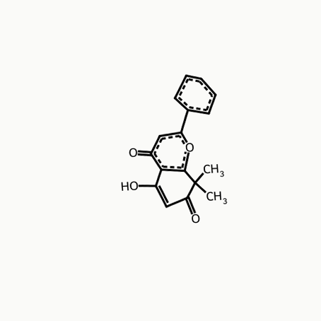 CC1(C)C(=O)C=C(O)c2c1oc(-c1ccccc1)cc2=O